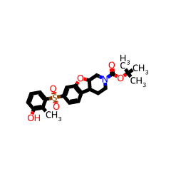 Cc1c(O)cccc1S(=O)(=O)c1ccc2c(c1)OC1CN(C(=O)OC(C)(C)C)CCC21